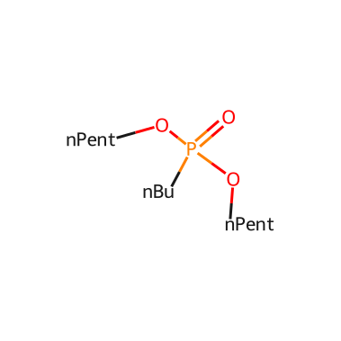 CCCCCOP(=O)(CCCC)OCCCCC